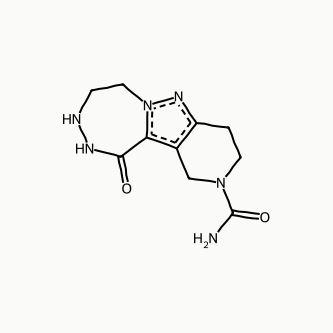 NC(=O)N1CCc2nn3c(c2C1)C(=O)NNCC3